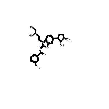 CN1CCC(c2ccc3c(c2)[nH]/c(=N\C(=O)c2cccc(C(F)(F)F)c2)n3CCC(O)CO)[C@H]1O